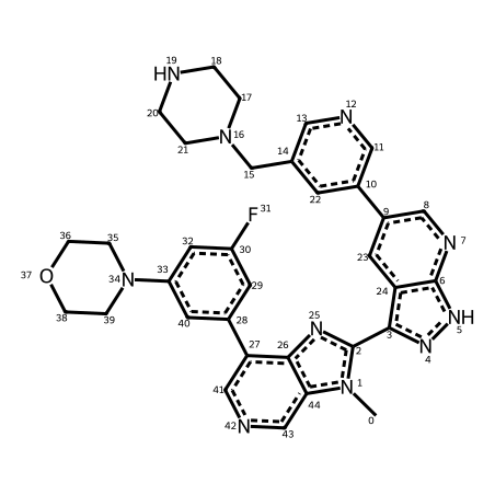 Cn1c(-c2n[nH]c3ncc(-c4cncc(CN5CCNCC5)c4)cc23)nc2c(-c3cc(F)cc(N4CCOCC4)c3)cncc21